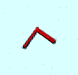 CCOC(=O)CCCO.CCOC(C)=O.CCOC(C)=O.CCOC(C)=O.CCOC(C)=O.CCOC(C)=O.CCOC(C)=O.CCOC(C)=O.CCOC(C)=O.CCOC(C)=O.CCOC(C)=O.CCOC(C)=O.CCOC(C)=O.CCOC(C)=O.CCOC(C)=O.CCOC(C)=O.CCOC(C)=O.CCOC(C)=O.CCOC(C)=O.CCOC(C)=O.CCOC(C)=O